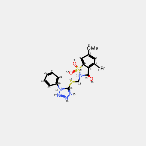 COc1cc(C(C)C)c2c(c1)S(=O)(=O)N(CSc1nnnn1-c1ccccc1)C2=O